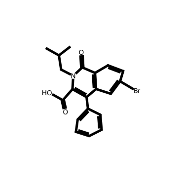 CC(C)Cn1c(C(=O)O)c(-c2ccccc2)c2cc(Br)ccc2c1=O